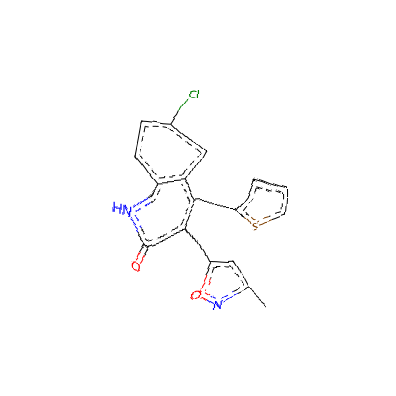 Cc1cc(-c2c(-c3cccs3)c3cc(Cl)ccc3[nH]c2=O)on1